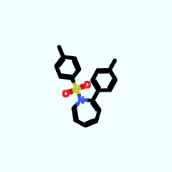 Cc1ccc(C2=CC=CC=CN2S(=O)(=O)c2ccc(C)cc2)cc1